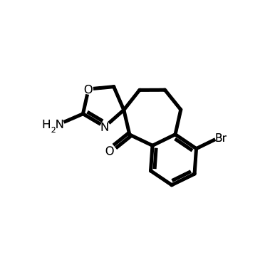 NC1=NC2(CCCc3c(Br)cccc3C2=O)CO1